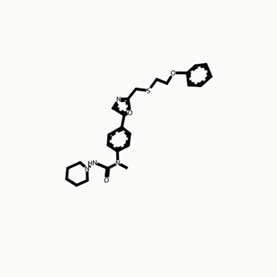 CN(C(=O)NN1CCCCC1)c1ccc(-c2cnc(CSCCOc3ccccc3)o2)cc1